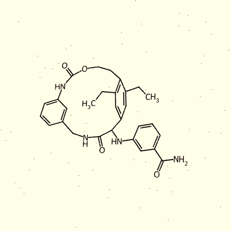 CCc1cc2cc(CC)c1CCOC(=O)Nc1cccc(c1)CNC(=O)C2Nc1cccc(C(N)=O)c1